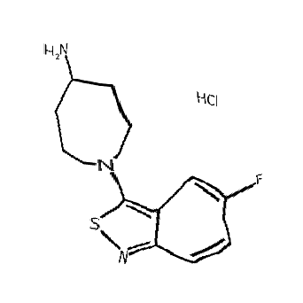 Cl.NC1CCN(c2snc3ccc(F)cc23)CC1